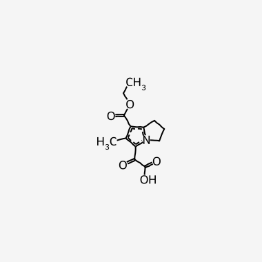 CCOC(=O)c1c(C)c(C(=O)C(=O)O)n2c1CCC2